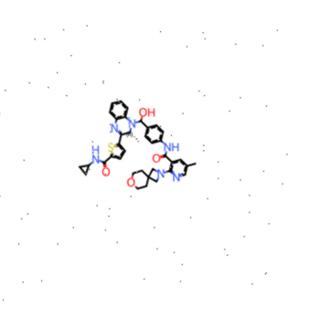 Cc1cnc(N2CC3(CCOCC3)C2)c(C(=O)Nc2ccc(C(O)N3c4ccccc4N=C(c4ccc(C(=O)NC5CC5)s4)[C@H]3C)cc2)c1